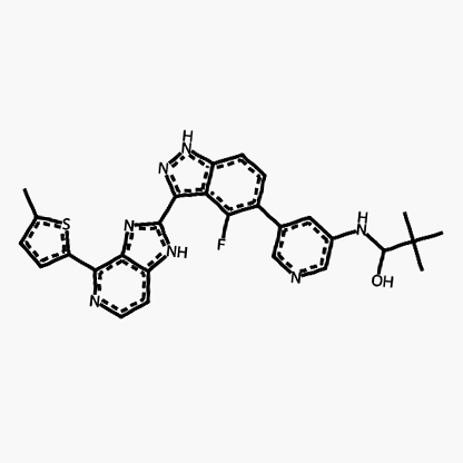 Cc1ccc(-c2nccc3[nH]c(-c4n[nH]c5ccc(-c6cncc(NC(O)C(C)(C)C)c6)c(F)c45)nc23)s1